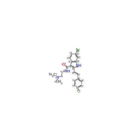 CN(C)CCNC(=O)c1c(C=Cc2ccc(Cl)cc2)[nH]c2cc(Br)ccc12